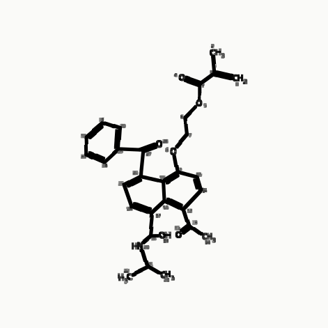 C=C(C)C(=O)OCCOc1ccc(C(C)=O)c2c(C(O)NC(C)C)ccc(C(=O)c3ccccc3)c12